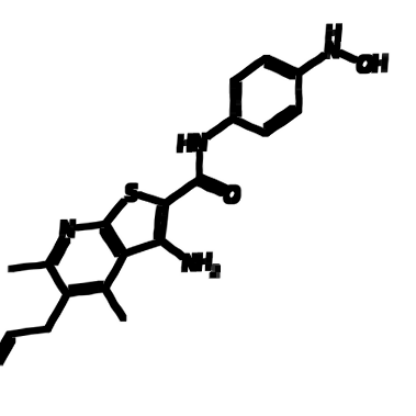 C=CCc1c(C)nc2sc(C(=O)Nc3ccc(NO)cc3)c(N)c2c1C